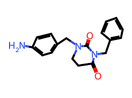 Nc1ccc(CN2CCC(=O)N(Cc3ccccc3)C2=O)cc1